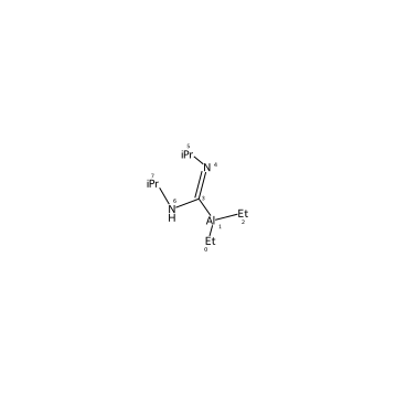 C[CH2][Al]([CH2]C)[C](=NC(C)C)NC(C)C